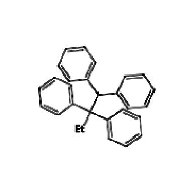 [CH2]CC([C](c1ccccc1)c1ccccc1)(c1ccccc1)c1ccccc1